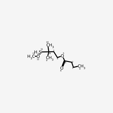 CCCC(=O)OCCC(C)(C)[SiH2]OC